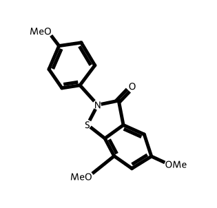 COc1ccc(-n2sc3c(OC)cc(OC)cc3c2=O)cc1